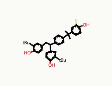 CC(C)(C)c1cc(CC(c2ccc(C(C)(C)c3ccc(O)c(F)c3)cc2)c2ccc(O)c(C(C)(C)C)c2)ccc1O